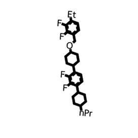 CCCC1CCC(c2ccc(C3CCC(OCc4ccc(CC)c(F)c4F)CC3)c(F)c2F)CC1